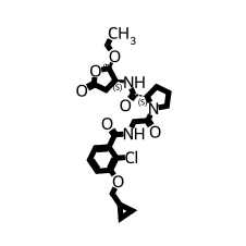 CCO[C@@H]1OC(=O)C[C@@H]1NC(=O)[C@@H]1CCCN1C(=O)CNC(=O)c1cccc(OCC2CC2)c1Cl